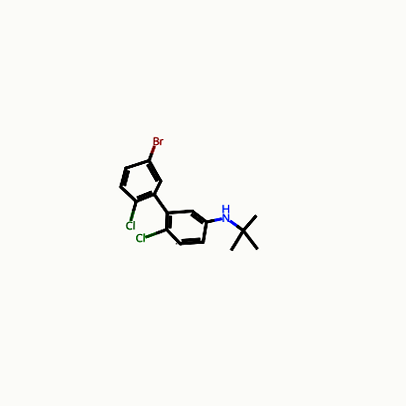 CC(C)(C)Nc1c[c]c(Cl)c(-c2cc(Br)ccc2Cl)c1